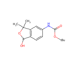 CC(C)(C)OC(=O)Nc1ccc2c(c1)C(C)(C)OB2O